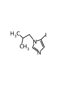 CC(C)Cn1cncc1I